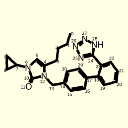 CCCCc1cn(C2CC2)c(=O)n1Cc1ccc(-c2ccccc2-c2nnn[nH]2)cc1